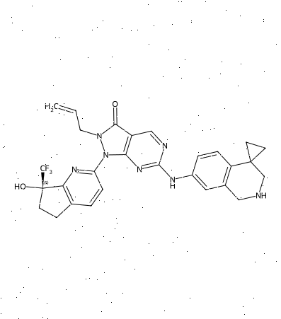 C=CCn1c(=O)c2cnc(Nc3ccc4c(c3)CNCC43CC3)nc2n1-c1ccc2c(n1)[C@](O)(C(F)(F)F)CC2